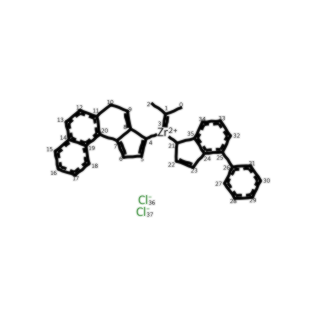 C[C](C)=[Zr+2]([C]1=CC=C2C1=CCc1ccc3ccccc3c12)[CH]1C=Cc2c(-c3ccccc3)cccc21.[Cl-].[Cl-]